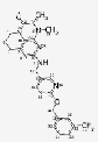 CC1C(=O)N2CCCc3nc(NCc4ccc(OCc5cccc(C(F)(F)F)c5)nc4)nc(c32)N1C